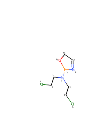 ClCCN(CCCl)[P@@]1N=CCO1